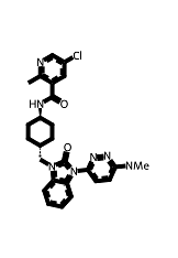 CNc1ccc(-n2c(=O)n(C[C@H]3CC[C@H](NC(=O)c4cc(Cl)cnc4C)CC3)c3ccccc32)nn1